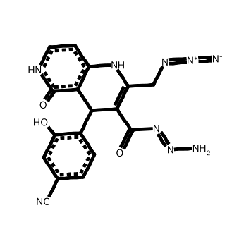 N#Cc1ccc(C2C(C(=O)N=NN)=C(CN=[N+]=[N-])Nc3cc[nH]c(=O)c32)c(O)c1